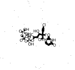 C[C@H](OP(=O)(O)OP(=O)(O)OP(=O)(O)O)[C@H]1O[C@@H](n2ccc(=O)[nH]c2=O)C(F)(C#CCl)[C@H]1O